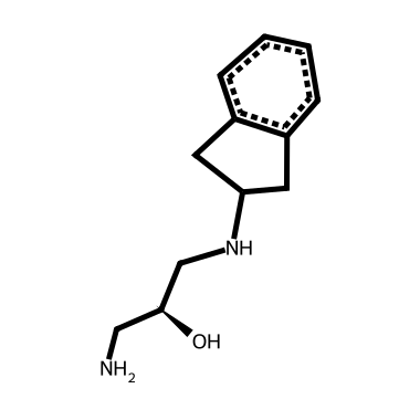 NC[C@H](O)CNC1Cc2ccccc2C1